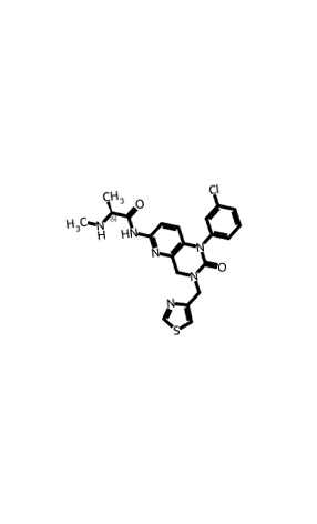 CN[C@@H](C)C(=O)Nc1ccc2c(n1)CN(Cc1cscn1)C(=O)N2c1cccc(Cl)c1